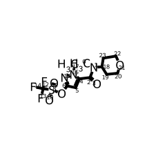 CN(C(=O)c1cc(OS(=O)(=O)C(F)(F)F)nn1C)C1CCOCC1